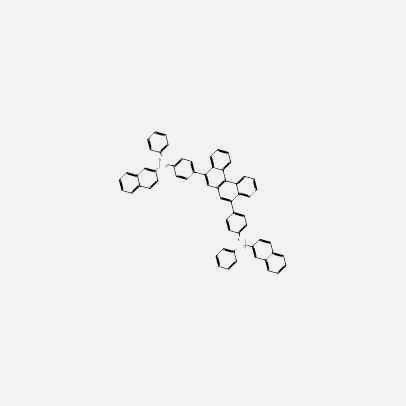 c1ccc(N(c2ccc(-c3cc4cc(-c5ccc(N(c6ccccc6)c6ccc7ccccc7c6)cc5)c5ccccc5c4c4ccccc34)cc2)c2ccc3ccccc3c2)cc1